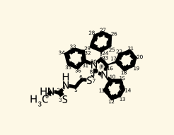 CNC(=S)NCCSP1N(c2ccccc2)[C@H](c2ccccc2)[C@@H](c2ccccc2)N1c1ccccc1